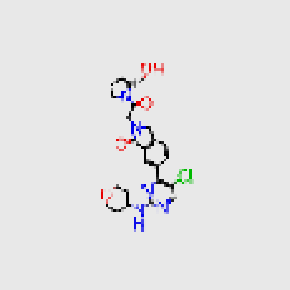 O=C1c2cc(-c3nc(NC4CCOCC4)ncc3Cl)ccc2CN1CC(=O)N1CCC[C@@H]1CO